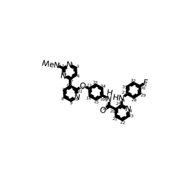 CNc1nccc(-c2cccnc2Oc2ccc(NC(=O)c3cccnc3Nc3ccc(F)cc3)cc2)n1